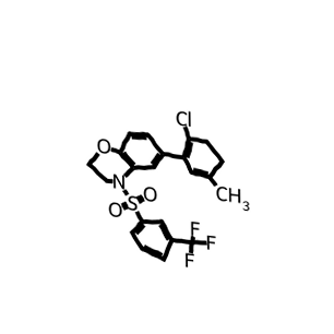 CC1=CC(c2ccc3c(c2)N(S(=O)(=O)c2cccc(C(F)(F)F)c2)CCO3)=C(Cl)CC1